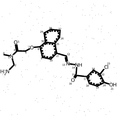 CN(CN)C(=O)COc1ccc(/C=N/NC(=O)c2ccc(O)c(Cl)c2)c2ccccc12